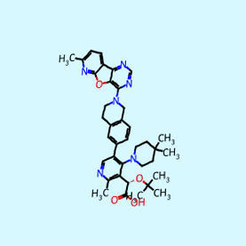 Cc1ccc2c(n1)oc1c(N3CCc4cc(-c5cnc(C)c([C@H](OC(C)(C)C)C(=O)O)c5N5CCC(C)(C)CC5)ccc4C3)ncnc12